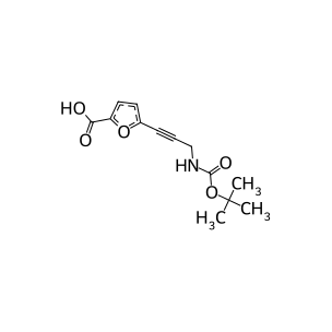 CC(C)(C)OC(=O)NCC#Cc1ccc(C(=O)O)o1